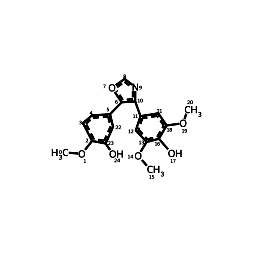 COc1ccc(-c2ocnc2-c2cc(OC)c(O)c(OC)c2)cc1O